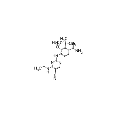 CCNc1nc(Nc2ccc(C(N)=O)c(C(C)(C)C)c2OC)ncc1C#N